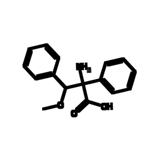 COC(c1ccccc1)C(N)(C(=O)O)c1ccccc1